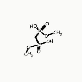 COP(=O)(O)CP(=O)(O)OC